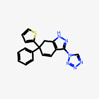 C1=CC(c2ccccc2)(c2cccs2)Cc2[nH]nc(-n3cnnn3)c21